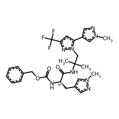 Cn1cc(C[C@@H](NC(=O)OCc2ccccc2)C(=O)NC(C)(C)Cn2nc(C(F)(F)F)cc2-c2cnn(C)c2)cn1